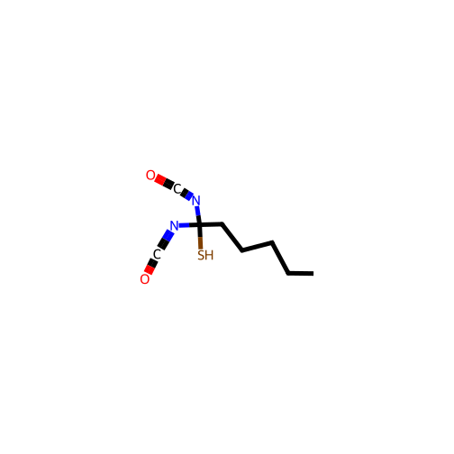 CCCCCC(S)(N=C=O)N=C=O